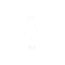 C[Si](C)(CCCN)CC[Si](C)(C)CCCN